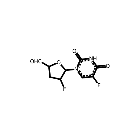 O=CC1CC(F)C(n2cc(F)c(=O)[nH]c2=O)O1